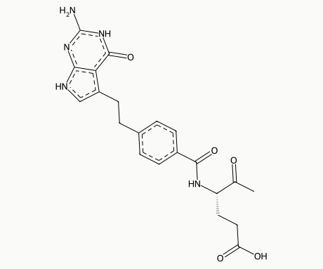 CC(=O)[C@H](CCC(=O)O)NC(=O)c1ccc(CCc2c[nH]c3nc(N)[nH]c(=O)c23)cc1